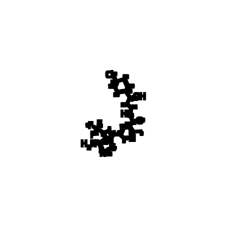 Cc1ncc(-c2cc(C(F)(F)F)c3c(N)ncnn23)cc1C(=O)NCC[C@H](O)c1ccc(Cl)cc1